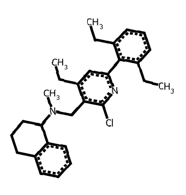 CCc1cc(-c2c(CC)cccc2CC)nc(Cl)c1CN(C)C1CCCc2ccccc21